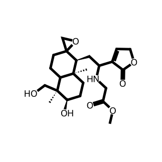 COC(=O)CNC(C[C@@H]1C2(CCC3[C@](C)(CO)[C@H](O)CC[C@@]31C)CO2)C1=CCOC1=O